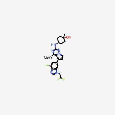 COc1nc(NC2CCC(C)(O)CC2)nn2ccc(-c3cc(F)c4ncn(CC(F)F)c4c3)c12